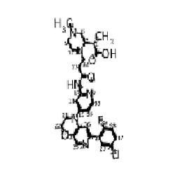 CC(C(=O)O)C1CN(C)CCN1CCC(=O)Nc1cc(N2CCOc3cnc(-c4cc(Cl)ccc4F)cc32)ccn1